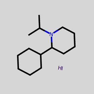 CC(C)N1CCCCC1C1CCCCC1.I